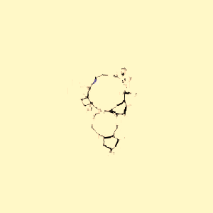 C[C@@H]1CC/C=C/[C@@H](O)[C@@]2(C)CC[C@@H]2CN2CCCCc3cc(Cl)ccc3COc3ccc(cc32)C(=O)NS1(=O)=O